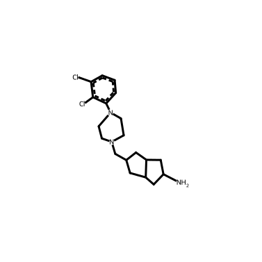 NC1CC2CC(CN3CCN(c4cccc(Cl)c4Cl)CC3)CC2C1